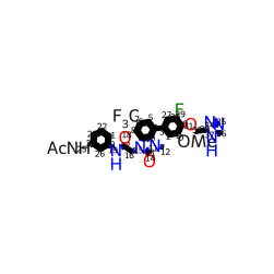 COc1cc(-c2cc(C(F)(F)F)cc3c2n(C)c(=O)n3CC(=O)Nc2cccc(NC(C)=O)c2)cc(F)c1OCc1nnc[nH]1